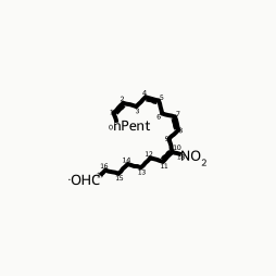 CCCCC/C=C\C/C=C\C/C=C\C/C(=C\CCCCC[C]=O)[N+](=O)[O-]